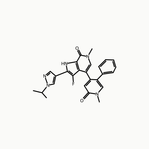 CC(C)n1cc(-c2[nH]c3c(=O)n(C)cc(-c4cc(=O)n(C)cc4-c4ccccc4)c3c2F)cn1